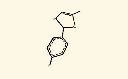 CC1=CN[C](c2ccc(F)cc2)O1